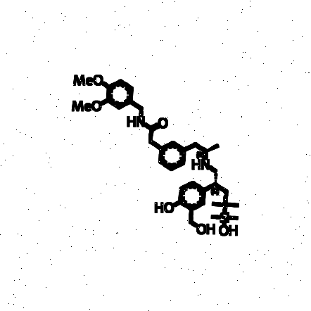 COc1ccc(CNC(=O)Cc2cccc(C[C@@H](C)NC[C@H](CC(C)(C)[Si](C)(C)O)c3ccc(O)c(CO)c3)c2)cc1OC